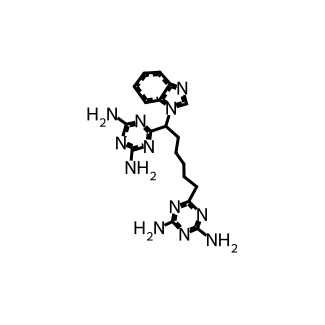 Nc1nc(N)nc(CCCCCC(c2nc(N)nc(N)n2)n2cnc3ccccc32)n1